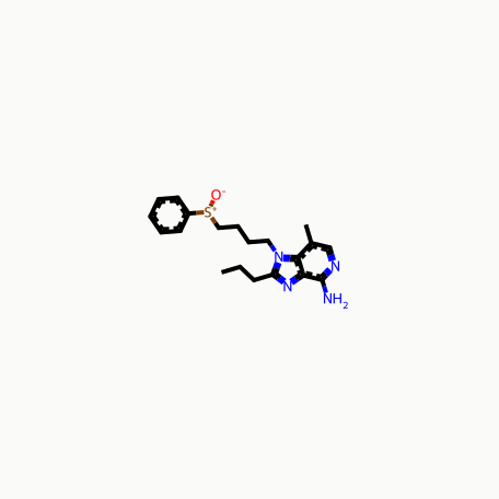 CCCc1nc2c(N)ncc(C)c2n1CCCC[S+]([O-])c1ccccc1